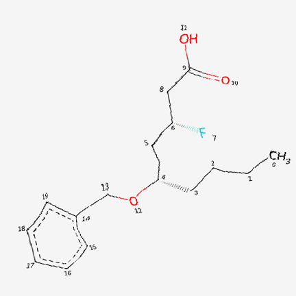 CCCC[C@@H](C[C@@H](F)CC(=O)O)OCc1ccccc1